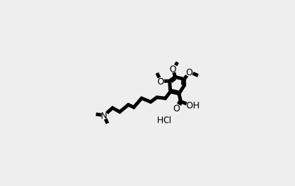 COc1cc(C(=O)O)c(CCCCCCCCN(C)C)c(OC)c1OC.Cl